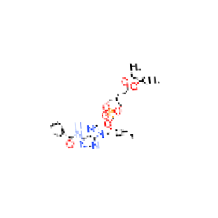 CC(C)OC(=O)CCC1COP(=O)(CO[C@H](C)CN2C=NC3C(NC(=O)c4ccccc4)=NC=NC32)OC1